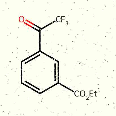 CCOC(=O)c1cccc(C(=O)C(F)(F)F)c1